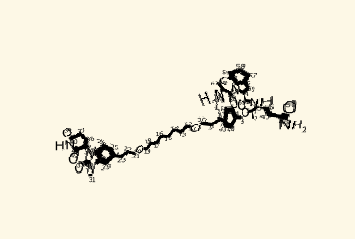 C[C@@H](OCc1ccc(CCCOCCCCCCCCOCCCc2ccc3c(c2)n(C)c(=O)n3C2CCC(=O)NC2=O)cc1)[C@H](CCC(N)=O)NC(=O)[C@@H]1Cc2cccc3c2N1C(=O)[C@@H](N)CC3